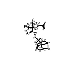 C=C(C)C(=O)OC(C(=O)OCC(C)(C)C12CC3CC(CC(C3)C1)C2)(C(F)(F)F)C(F)(F)F